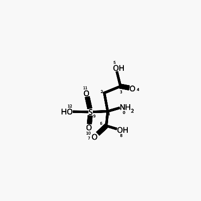 NC(CC(=O)O)(C(=O)O)S(=O)(=O)O